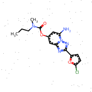 CCCN(C)C(=O)Oc1cc(N)n2nc(-c3ccc(Cl)o3)nc2c1